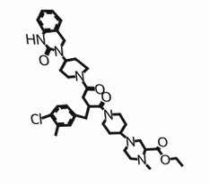 CCOC(=O)C1CN(C2CCN(C(=O)C(CC(=O)N3CCC(N4Cc5ccccc5NC4=O)CC3)Cc3ccc(Cl)c(C)c3)CC2)CCN1C